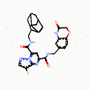 O=C1COc2ccc(CNC(=O)c3cc(C(=O)NCC4C5CC6CC(C5)CC4C6)n4ncc(F)c4n3)cc2N1